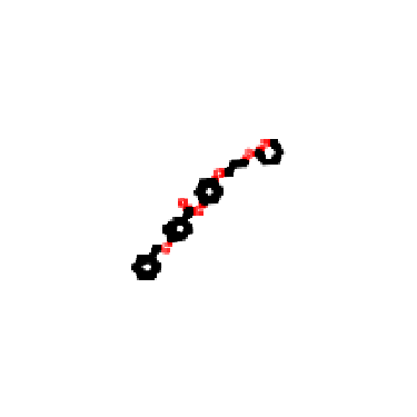 O=C(Oc1ccc(OCCCOC2CCCCO2)cc1)C1CC2CC1CC2OCc1ccccc1